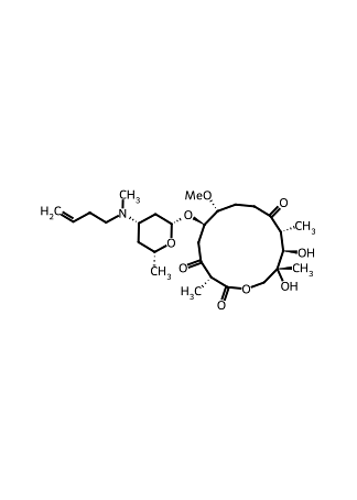 C=CCCN(C)[C@@H]1C[C@H](O[C@@H]2CC(=O)[C@@H](C)C(=O)OC[C@@](C)(O)[C@H](O)[C@@H](C)C(=O)CC[C@H]2OC)O[C@H](C)C1